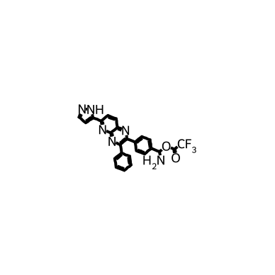 NC(OC(=O)C(F)(F)F)c1ccc(-c2nc3ccc(-c4ccn[nH]4)nc3nc2-c2ccccc2)cc1